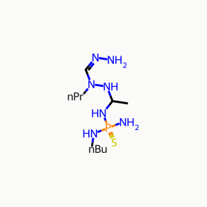 CCCCNP(N)(=S)NC(C)NN(/C=N\N)CCC